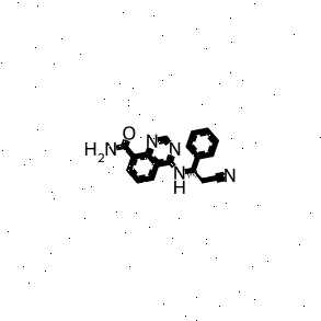 N#CC[C@@H](Nc1ncnc2c(C(N)=O)cccc12)c1ccccc1